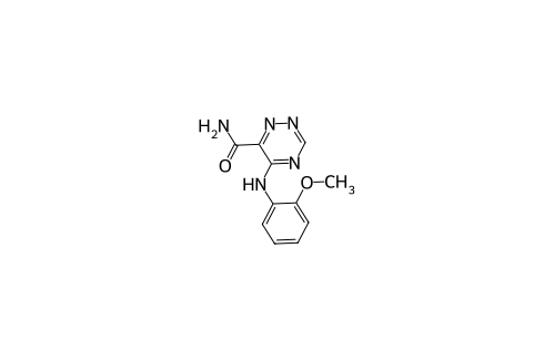 COc1ccccc1Nc1ncnnc1C(N)=O